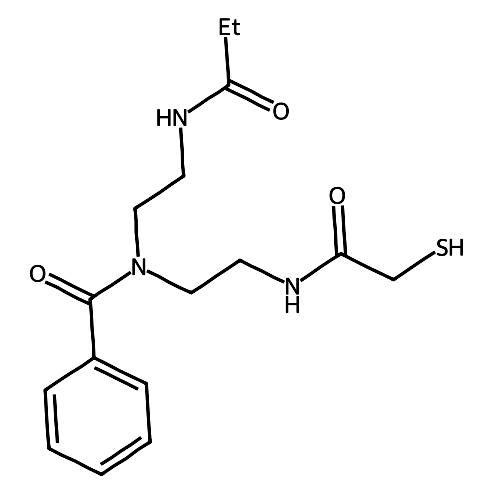 CCC(=O)NCCN(CCNC(=O)CS)C(=O)c1ccccc1